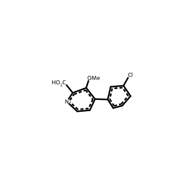 COc1c(-c2cccc(Cl)c2)ccnc1C(=O)O